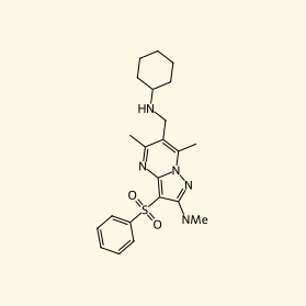 CNc1nn2c(C)c(CNC3CCCCC3)c(C)nc2c1S(=O)(=O)c1ccccc1